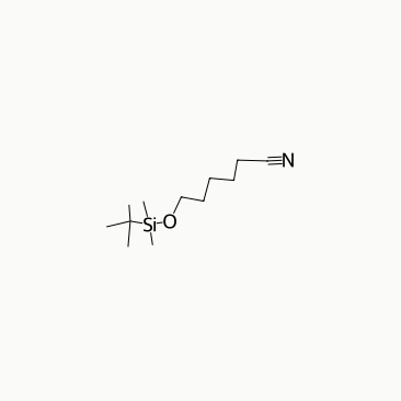 CC(C)(C)[Si](C)(C)OCCCCCC#N